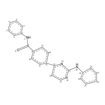 O=C(Nc1ccccc1)c1ccc(-c2ccnc(Nc3ccccc3)n2)cc1